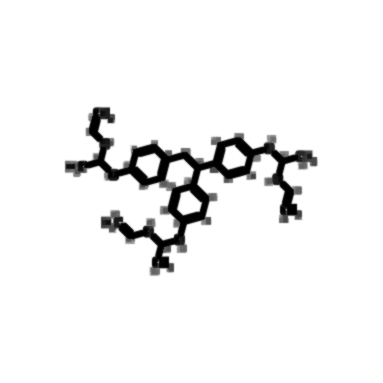 C=COC(C)Oc1ccc(CC(c2ccc(OC(C)OC=C)cc2)c2ccc(OC(C)OC=C)cc2)cc1